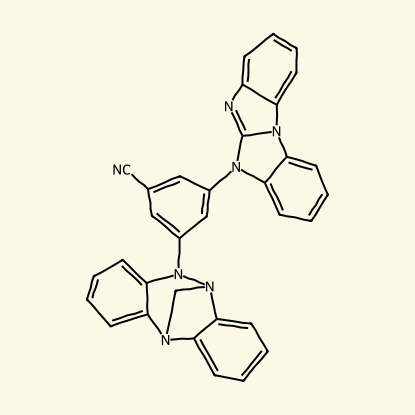 N#Cc1cc(-n2c3ccccc3n3c4ccccc4nc23)cc(-n2c3ccccc3n3c4ccccc4n2C3)c1